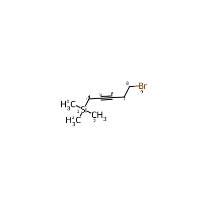 C[Si](C)(C)[CH]C#CCCBr